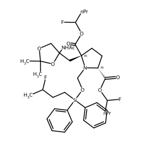 CCCC(F)OC(=O)[C@H]1CC[C@@](CC2(NC(C)=O)COC(C)(C)O2)(C(=O)OC(F)CCC)N1CO[Si](CCC(C)F)(c1ccccc1)c1ccccc1